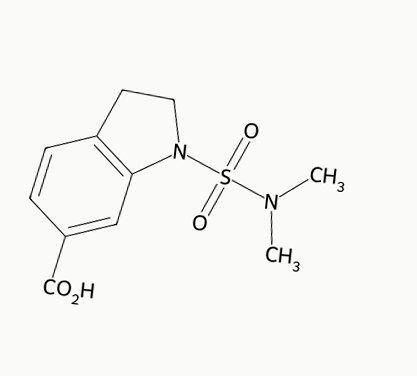 CN(C)S(=O)(=O)N1CCc2ccc(C(=O)O)cc21